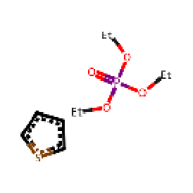 CCOP(=O)(OCC)OCC.c1ccsc1